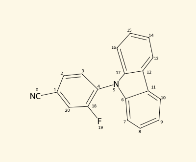 N#Cc1ccc(-n2c3ccccc3c3ccccc32)c(F)c1